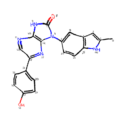 Cc1cc2cc(-n3c(=O)[nH]c4ncc(-c5ccc(O)cc5)nc43)ccc2[nH]1